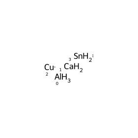 [AlH3].[CaH2].[Cu].[SnH2]